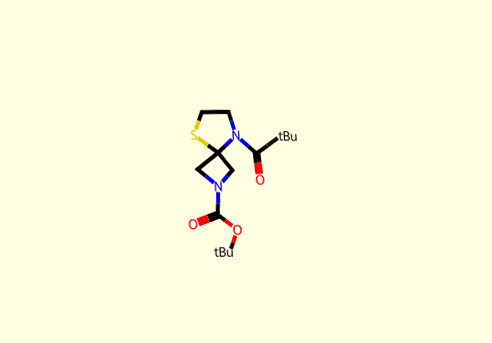 CC(C)(C)OC(=O)N1CC2(C1)SCCN2C(=O)C(C)(C)C